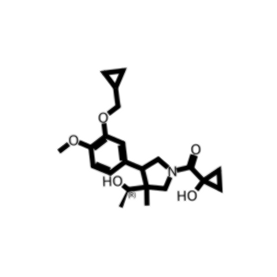 COc1ccc(C2CN(C(=O)C3(O)CC3)CC2(C)[C@@H](C)O)cc1OCC1CC1